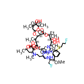 CC[C@H]1OC(=O)[C@H](C)[C@@H](O[C@H]2C[C@@](C)(OC)[C@@H](O)[C@H](C)O2)[C@H](C)[C@@H](O[C@@H]2O[C@H](C)C[C@H](N(C)CC/C(=C/N[C@H](CF)[C@H](OC)c3ccc(SCCCF)cc3)N=N)[C@H]2O)[C@](C)(O)C[C@@H](C)CN(C)[C@H](C)[C@@H](O)[C@]1(C)O